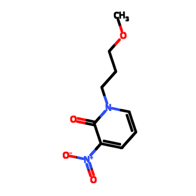 COCCCn1cccc([N+](=O)[O-])c1=O